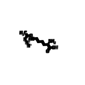 CC(N=[N+]=[N-])ONCCCC[C@H](N)C(=O)O